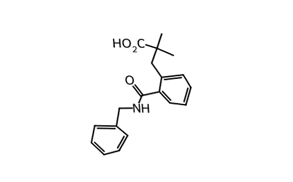 CC(C)(Cc1ccccc1C(=O)NCc1ccccc1)C(=O)O